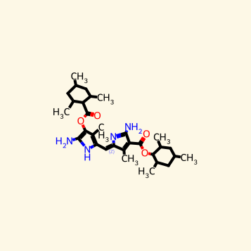 CC1=C(C(=O)OC2C(C)CC(C)CC2C)C(N)=N/C1=C\c1[nH]c(N)c(OC(=O)C2C(C)CC(C)CC2C)c1C